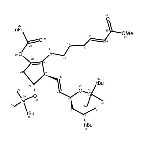 CCCC[C@@H](C)C[C@@H](/C=C/[C@@H]1C(SCCC/C=C/C(=O)OC)=C(OC(=O)CCC)C[C@H]1O[Si](C)(C)C(C)(C)C)O[Si](C)(C)C(C)(C)C